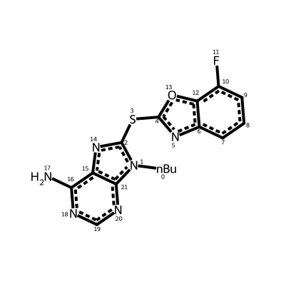 CCCCn1c(Sc2nc3cccc(F)c3o2)nc2c(N)ncnc21